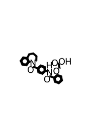 O=C(O)COc1ccccc1C(=O)Nc1ccc(C(=O)N2CCCCc3ccccc32)cc1